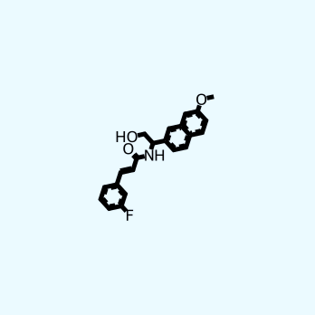 COc1ccc2ccc(C(CO)NC(=O)C=Cc3cccc(F)c3)cc2c1